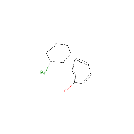 BrC1CCCCC1.Oc1ccccc1